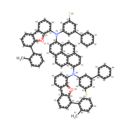 Cc1ccccc1-c1cccc2c1oc1c(N(c3cc(F)cc(-c4ccccc4)c3)c3ccc4ccc5c(N(c6cc(F)cc(-c7ccccc7)c6)c6cccc7c6oc6c(-c8ccccc8C)cccc67)ccc6ccc3c4c65)cccc12